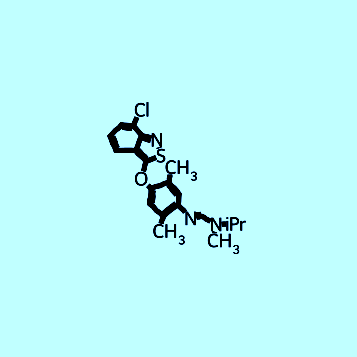 Cc1cc(Oc2snc3c(Cl)cccc23)c(C)cc1N=CN(C)C(C)C